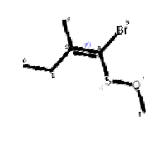 CC/C(C)=C(/Br)SOC